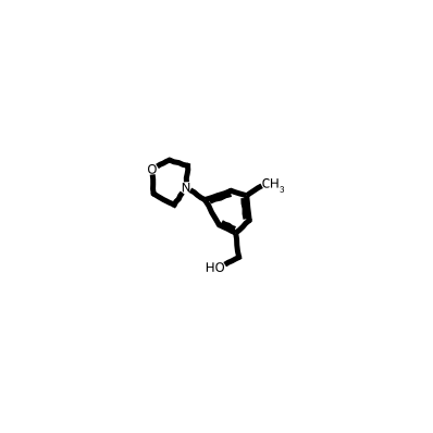 Cc1cc(CO)cc(N2CCOCC2)c1